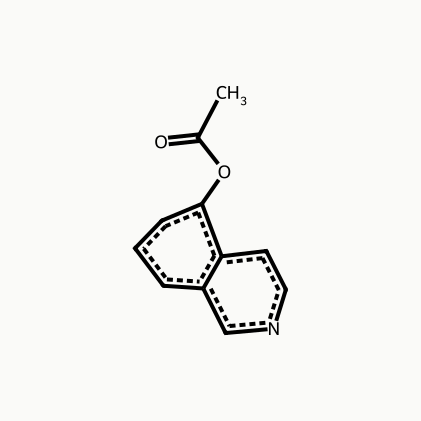 CC(=O)Oc1cccc2cnccc12